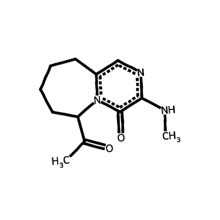 CNc1ncc2n(c1=O)C(C(C)=O)CCCC2